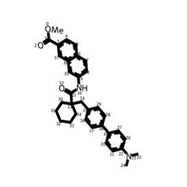 COC(=O)c1ccc2ccc(NC(=O)C3(Cc4ccc(-c5ccc(N(C)C)cc5)cc4)CCCCC3)cc2c1